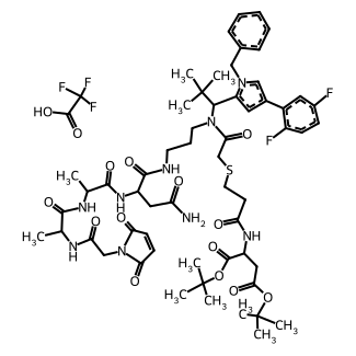 CC(NC(=O)CN1C(=O)C=CC1=O)C(=O)NC(C)C(=O)NC(CC(N)=O)C(=O)NCCCN(C(=O)CSCCC(=O)NC(CC(=O)OC(C)(C)C)C(=O)OC(C)(C)C)C(c1cc(-c2cc(F)ccc2F)cn1Cc1ccccc1)C(C)(C)C.O=C(O)C(F)(F)F